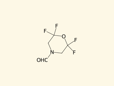 O=CN1CC(F)(F)OC(F)(F)C1